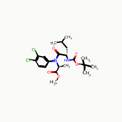 COC(=O)[C@H](C)N(C(=O)[C@H](CC(C)C)NC(=O)OC(C)(C)C)c1ccc(Cl)c(Cl)c1